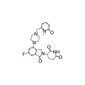 Cn1c(CN2CCN(c3cc(F)cc4c3CN(C3CCC(=O)NC3=O)C4=O)CC2)cccc1=O